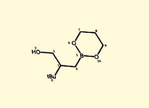 CC(C)(C)C(CO)CB1OCCCO1